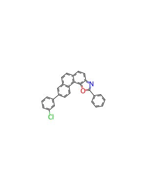 Clc1cccc(-c2ccc3c(ccc4ccc5nc(-c6ccccc6)oc5c43)c2)c1